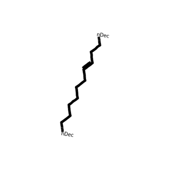 [CH2]CCCCCCCCCCCC=CCCCCCCCCCCCCCCCC